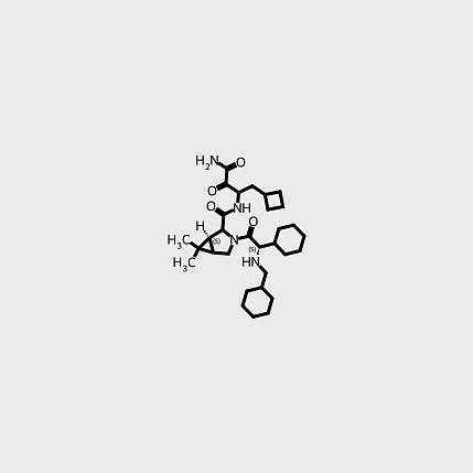 CC1(C)C2CN(C(=O)[C@@H](NCC3CCCCC3)C3CCCCC3)C(C(=O)NC(CC3CCC3)C(=O)C(N)=O)[C@@H]21